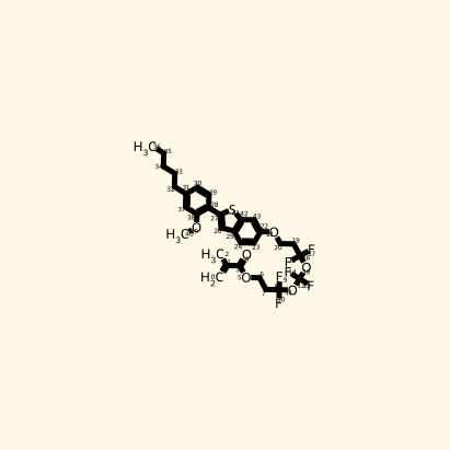 C=C(C)C(=O)OCCC(F)(F)OC(F)(F)OC(F)(F)CCOc1ccc2cc(-c3ccc(CCCCC)cc3OC)sc2c1